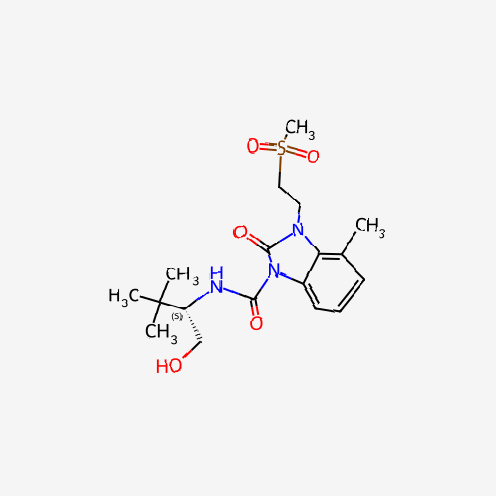 Cc1cccc2c1n(CCS(C)(=O)=O)c(=O)n2C(=O)N[C@H](CO)C(C)(C)C